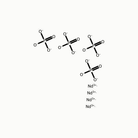 O=P([O-])([O-])[O-].O=P([O-])([O-])[O-].O=P([O-])([O-])[O-].O=P([O-])([O-])[O-].[Nd+3].[Nd+3].[Nd+3].[Nd+3]